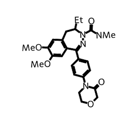 CCC1Cc2cc(OC)c(OC)cc2C(c2ccc(N3CCOCC3=O)cc2)=NN1C(=O)NC